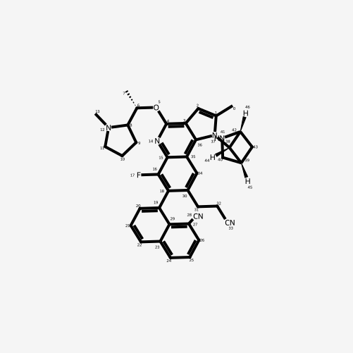 Cc1cc2c(O[C@@H](C)C3CCCN3C)nc3c(F)c(-c4cccc5cccc(C#N)c45)c(CCC#N)cc3c2n1[C@H]1[C@H]2CN[C@@H]1C2